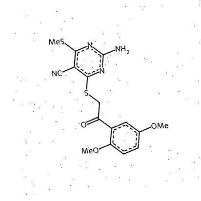 COc1ccc(OC)c(C(=O)CSc2nc(N)nc(SC)c2C#N)c1